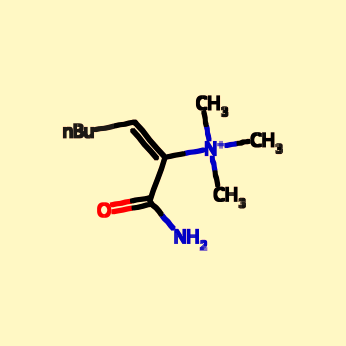 CCCC/C=C(\C(N)=O)[N+](C)(C)C